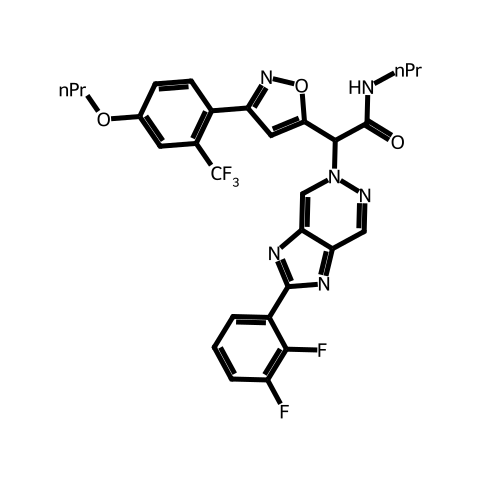 CCCNC(=O)C(c1cc(-c2ccc(OCCC)cc2C(F)(F)F)no1)n1cc2nc(-c3cccc(F)c3F)nc-2cn1